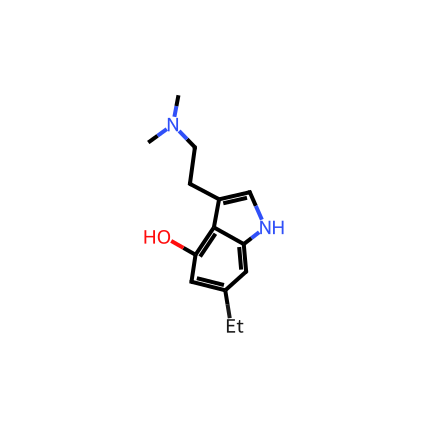 CCc1cc(O)c2c(CCN(C)C)c[nH]c2c1